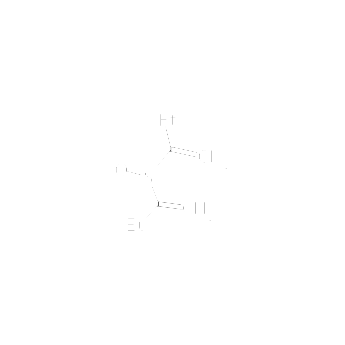 C=C(CC)[S+]([O-])C(=C)CC